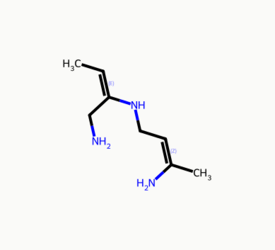 C/C=C(\CN)NC/C=C(/C)N